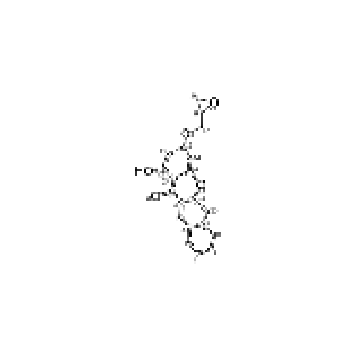 O=c1c2cc3ccccc3cc2oc2cc(OCC3CO3)cc(O)c12